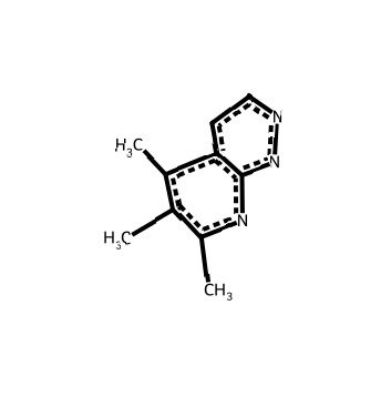 Cc1nc2nnccc2c(C)c1C